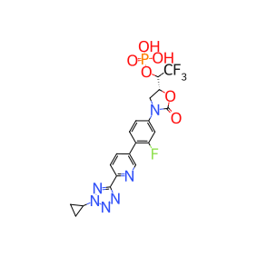 O=C1O[C@@H](C(OP(=O)(O)O)C(F)(F)F)CN1c1ccc(-c2ccc(-c3nnn(C4CC4)n3)nc2)c(F)c1